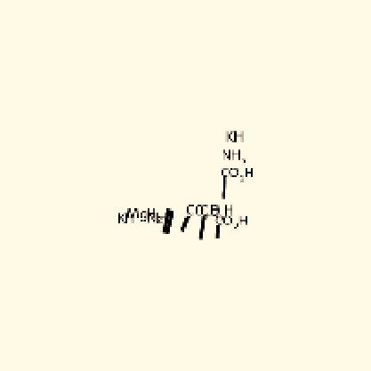 C=C.CC(=O)O.CC(=O)O.CC(=O)O.CC(=O)O.N.N.[KH].[KH].[MgH2]